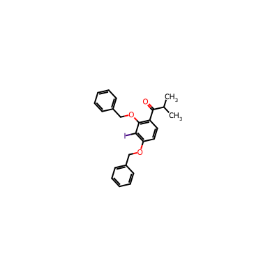 CC(C)C(=O)c1ccc(OCc2ccccc2)c(I)c1OCc1ccccc1